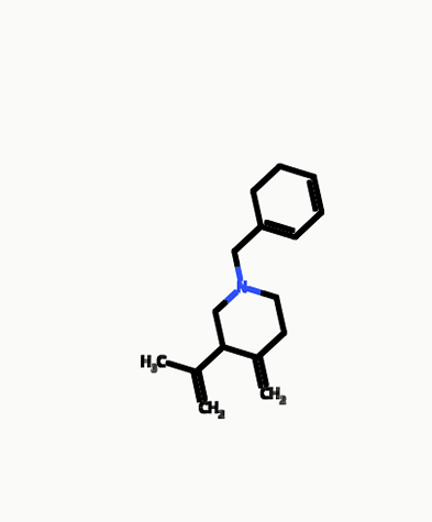 C=C(C)C1CN(CC2=CC=CCC2)CCC1=C